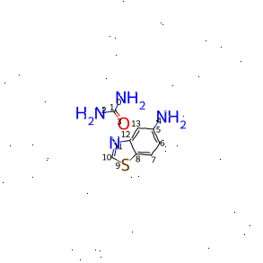 NC(N)=O.Nc1ccc2scnc2c1